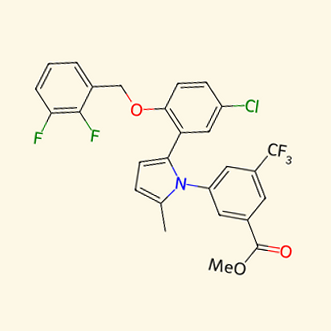 COC(=O)c1cc(-n2c(C)ccc2-c2cc(Cl)ccc2OCc2cccc(F)c2F)cc(C(F)(F)F)c1